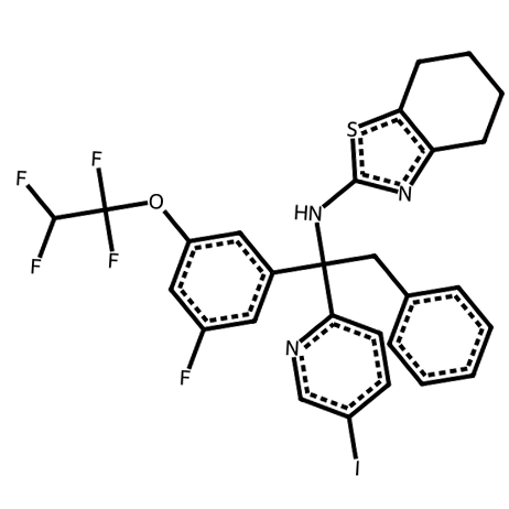 Fc1cc(OC(F)(F)C(F)F)cc(C(Cc2ccccc2)(Nc2nc3c(s2)CCCC3)c2ccc(I)cn2)c1